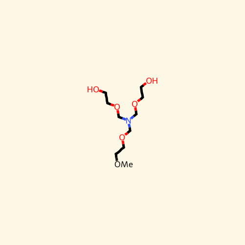 COCCOCN(COCCO)COCCO